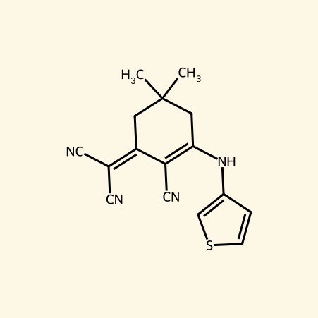 CC1(C)CC(Nc2ccsc2)=C(C#N)C(=C(C#N)C#N)C1